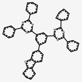 c1ccc(-c2nc(-c3ccccc3)nc(-c3cc(-c4ccc5c(c4)oc4ccccc45)cc(-c4nc(-c5ccccc5)nc(-c5ccccc5)n4)c3)n2)cc1